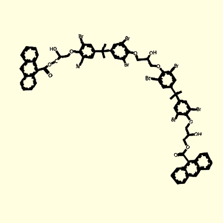 CC(C)(c1cc(Br)c(OCC(O)COC(=O)c2c3ccccc3cc3ccccc23)c(Br)c1)c1cc(Br)c(OCC(O)COc2c(Br)cc(C(C)(C)c3cc(Br)c(OCC(O)COC(=O)c4c5ccccc5cc5ccccc45)c(Br)c3)cc2Br)c(Br)c1